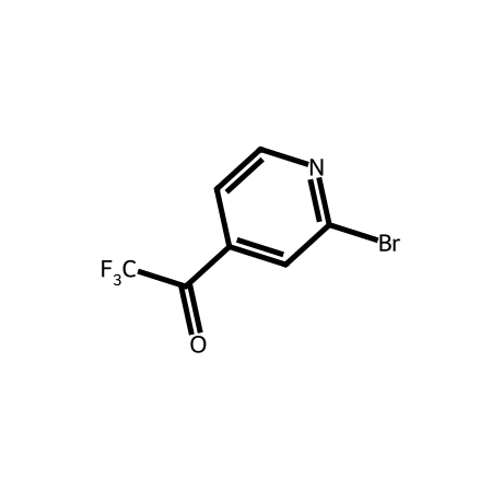 O=C(c1ccnc(Br)c1)C(F)(F)F